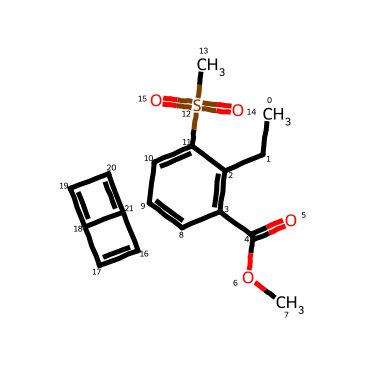 CCc1c(C(=O)OC)cccc1S(C)(=O)=O.c1cc2ccc1-2